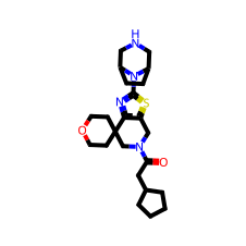 O=C(CC1CCCC1)N1Cc2sc(N3C4CCC3CNC4)nc2C2(CCOCC2)C1